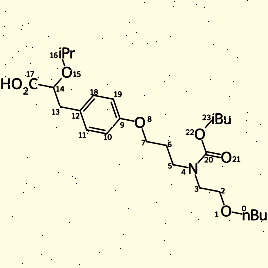 CCCCOCCN(CCCOc1ccc(CC(OC(C)C)C(=O)O)cc1)C(=O)OC(C)CC